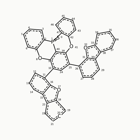 S=P12c3ccccc3Oc3c(-c4cccc5c4oc4ccccc45)cc(-c4cccc5c4oc4ccccc45)c(c31)Oc1ccccc12